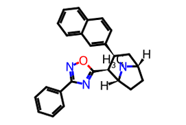 CN1[C@H]2CC[C@@H]1[C@@H](c1nc(-c3ccccc3)no1)[C@@H](c1ccc3ccccc3c1)C2